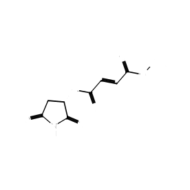 COC(=O)/C=C/C(=O)O[C@H]1CC(=O)NC1=O